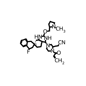 C=CC(=O)N1CCN(C2NC(OCC3CCCN3C)NC3C[C@@]4(CCC32)Cc2ccccc2C(F)C4)CC1CC#N